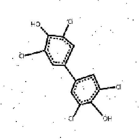 Oc1c(Cl)cc(-c2cc(Cl)c(O)c(Cl)c2)cc1Cl